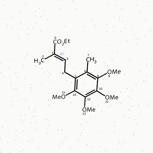 CCOC(=O)/C(C)=C/Cc1c(C)c(OC)c(OC)c(OC)c1OC